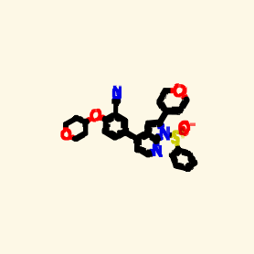 N#Cc1cc(-c2ccnc3c2cc(C2=CCOCC2)n3[S+]([O-])c2ccccc2)ccc1OC1CCOCC1